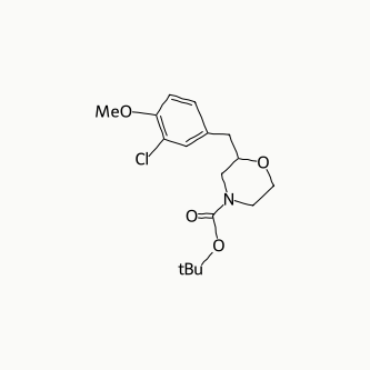 COc1ccc(CC2CN(C(=O)OC(C)(C)C)CCO2)cc1Cl